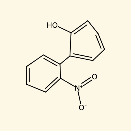 O=[N+]([O-])c1ccccc1-c1ccccc1O